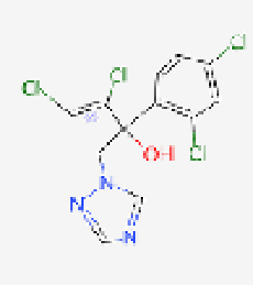 OC(Cn1cncn1)(/C(Cl)=C/Cl)c1ccc(Cl)cc1Cl